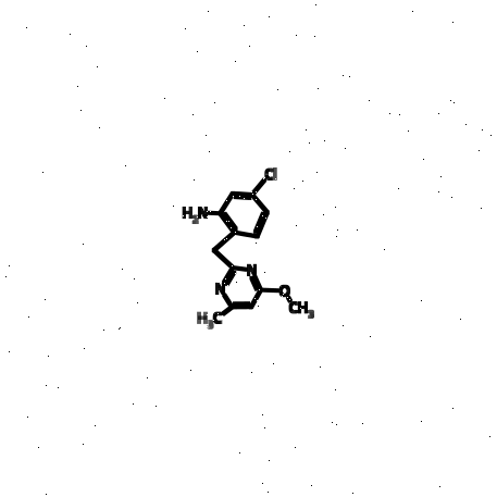 COc1cc(C)nc(Cc2ccc(Cl)cc2N)n1